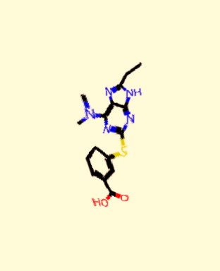 CCc1nc2c(N(C)C)nc(Sc3cccc(C(=O)O)c3)nc2[nH]1